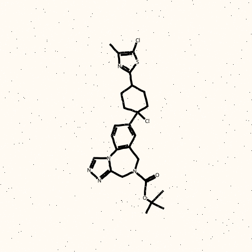 Cc1nc(C2CCC(Cl)(c3ccc4c(c3)CN(C(=O)OC(C)(C)C)Cc3nncn3-4)CC2)sc1Cl